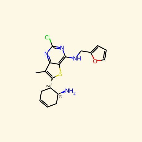 Cc1c([C@H]2CC=CC[C@@H]2N)sc2c(NCc3ccco3)nc(Cl)nc12